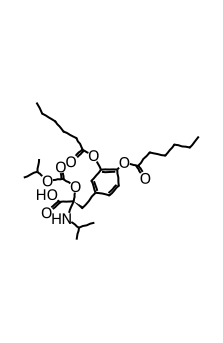 CCCCCC(=O)Oc1ccc(C[C@](NC(C)C)(OC(=O)OC(C)C)C(=O)O)cc1OC(=O)CCCCC